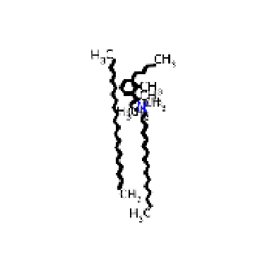 CCCCCCCCCCCCCCCCCCCCCC.CCCCCCCCCCCCCCCC[N+](C)(C)C(C)(CC)c1cccc(CCCCC)c1C